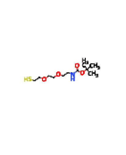 CC(C)(C)OC(=O)NCCOCCOCCS